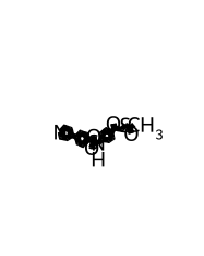 CC(=O)SCC(=O)c1ccc(NS(=O)(=O)c2ccc(-c3ccncc3)cc2)cc1